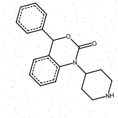 O=C1OC(c2ccccc2)c2ccccc2N1C1CCNCC1